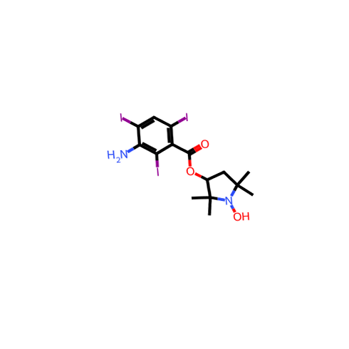 CC1(C)CC(OC(=O)c2c(I)cc(I)c(N)c2I)C(C)(C)N1O